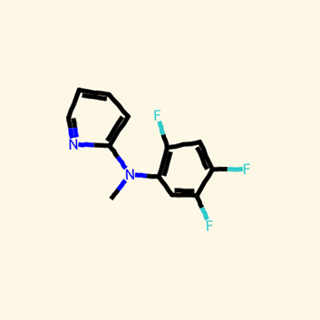 CN(c1ccccn1)c1cc(F)c(F)cc1F